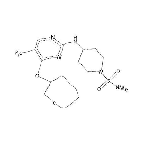 CNS(=O)(=O)N1CCC(Nc2ncc(C(F)(F)F)c(OC3CCCCCC3)n2)CC1